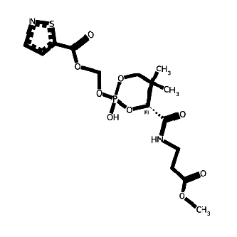 COC(=O)CCNC(=O)[C@@H]1O[P](O)(OCOC(=O)c2ccns2)OCC1(C)C